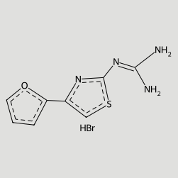 Br.NC(N)=Nc1nc(-c2ccco2)cs1